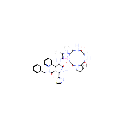 CC(C)[C@@H]1NC(=O)[C@@H]2[C@H](C)CCN2C(=O)CN/C(=N\C(C(=O)NC(C(=O)N[C@H](CC(=O)NCc2ccccc2)c2nccs2)[C@@H](C)c2ccccc2)C(C)(C)C)C(C(C)(C)C)NC1=O